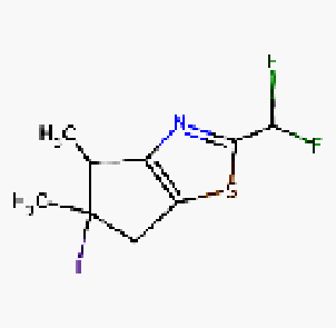 CC1c2nc(C(F)F)sc2CC1(C)I